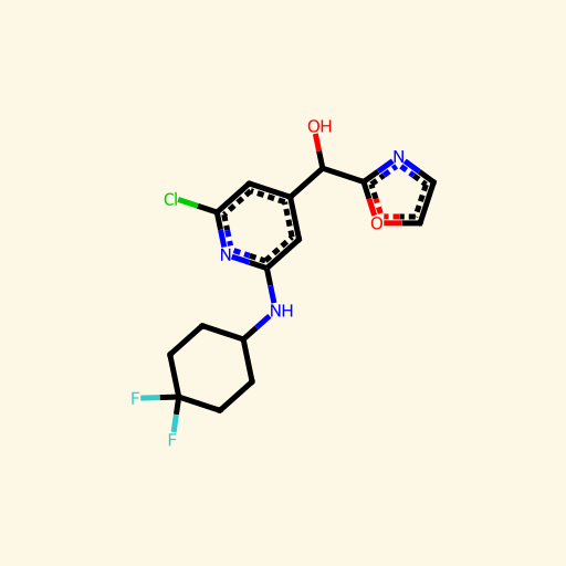 OC(c1cc(Cl)nc(NC2CCC(F)(F)CC2)c1)c1ncco1